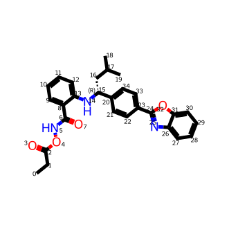 CCC(=O)ONC(=O)c1ccccc1N[C@H](CC(C)C)c1ccc(-c2nc3ccccc3o2)cc1